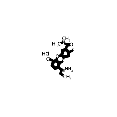 CC[C@@H](N)c1ccc(Cl)c(Oc2ccc(F)c(C(=O)N(C)C)c2)c1F.Cl